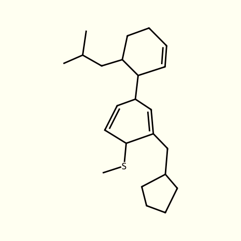 CSC1C=CC(C2C=CCCC2CC(C)C)C=C1CC1CCCC1